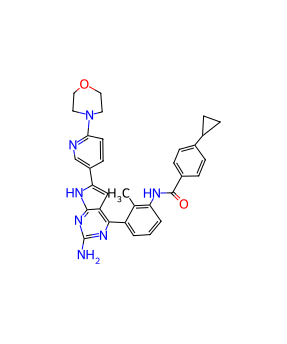 Cc1c(NC(=O)c2ccc(C3CC3)cc2)cccc1-c1nc(N)nc2[nH]c(-c3ccc(N4CCOCC4)nc3)cc12